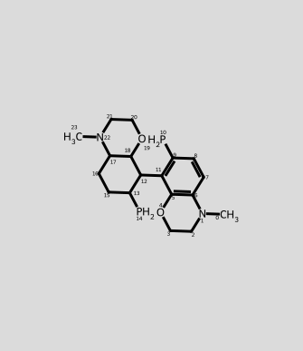 CN1CCOc2c1ccc(P)c2C1C(P)CCC2C1OCCN2C